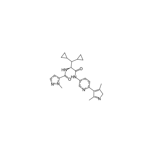 CC1=NCC(C)=C1c1ccc(NC(=O)[C@@H](NC(=O)c2ccnn2C)C(C2CC2)C2CC2)cn1